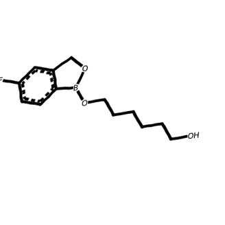 OCCCCCCOB1OCc2cc(F)ccc21